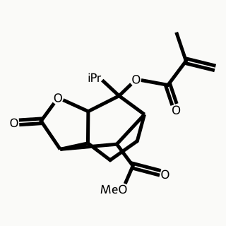 C=C(C)C(=O)OC1(C(C)C)C2CCC3C(C(=O)OC31)C2C(=O)OC